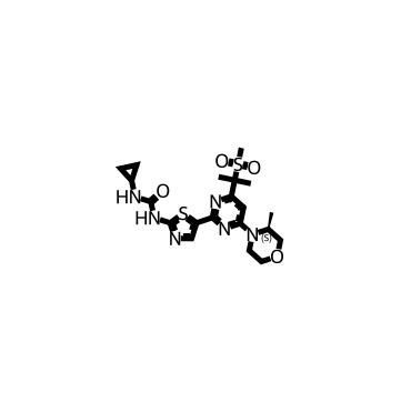 C[C@H]1COCCN1c1cc(C(C)(C)S(C)(=O)=O)nc(-c2cnc(NC(=O)NC3CC3)s2)n1